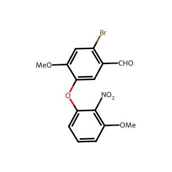 COc1cc(Br)c(C=O)cc1Oc1cccc(OC)c1[N+](=O)[O-]